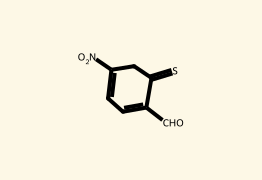 O=CC1=CC=C([N+](=O)[O-])CC1=S